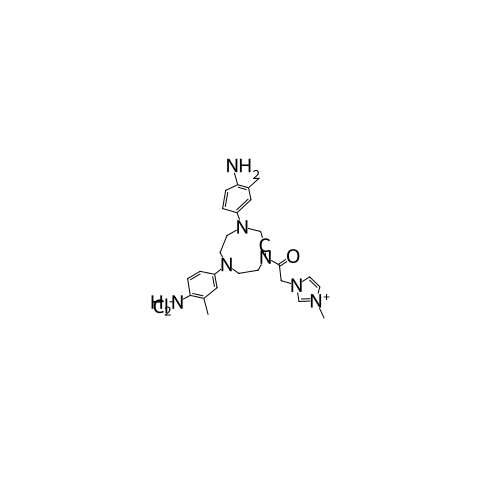 Cc1cc(N2CCN(C(=O)Cn3cc[n+](C)c3)CCN(c3ccc(N)c(C)c3)CC2)ccc1N.[Cl-]